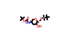 CC(C)(C)OC(=O)N[C@H]1CO[C@H](CO[Si](C)(C)C(C)(C)C)C(O)C1